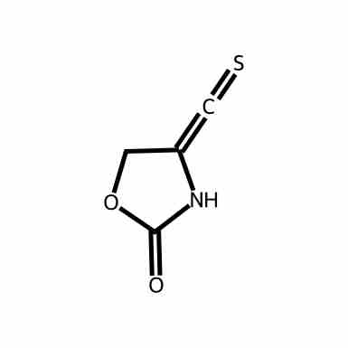 O=C1NC(=C=S)CO1